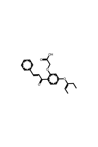 CC=C(CC)Oc1ccc(C(=O)C=Cc2ccccc2)c(OCC(=O)O)c1